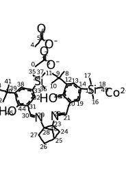 CC(=O)[O-].CC(=O)[O-].CC(C)(C)c1cc([Si](C)(C)C)cc(C=NC2CC3CCC2(N=Cc2cc([Si](C)(C)C)cc(C(C)(C)C)c2O)C3)c1O.[Co+2]